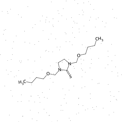 CCCCOCN1CCN(COCCCC)C1=S